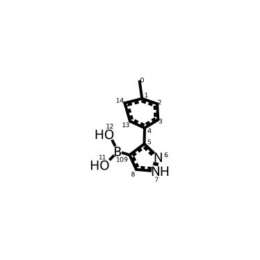 Cc1ccc(-c2n[nH]cc2B(O)O)cc1